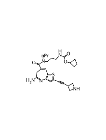 CCCN(CCCNC(=O)OC1CCC1)C(=O)C1=Cc2sc(C#CC3CNC3)cc2N=C(N)C1